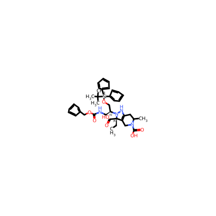 CC[C@]1(C(=O)O)C2=C(CC(C)N(C(=O)O)C2)NN1[C@@H](CNC(=O)OCc1ccccc1)CO[Si](c1ccccc1)(c1ccccc1)C(C)(C)C